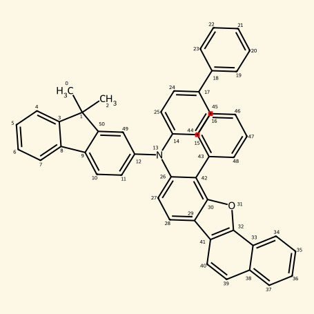 CC1(C)c2ccccc2-c2ccc(N(c3ccc(-c4ccccc4)cc3)c3ccc4c(oc5c6ccccc6ccc45)c3-c3ccccc3)cc21